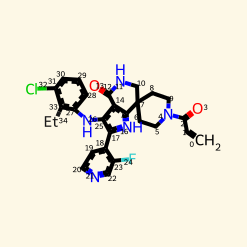 C=CC(=O)N1CCC2(CC1)CNC(=O)c1c2[nH]c(-c2ccncc2F)c1Nc1cccc(Cl)c1CC